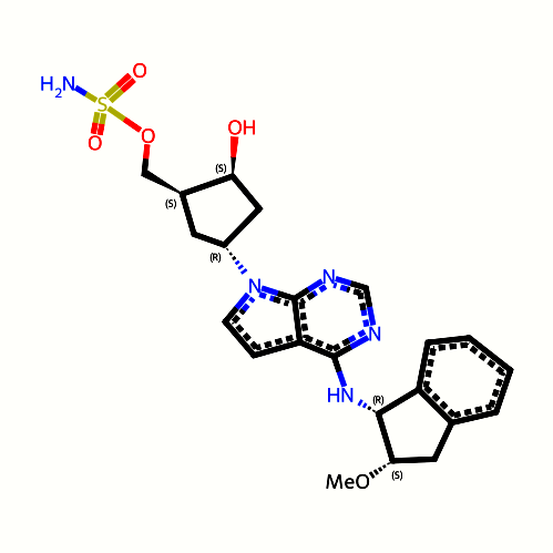 CO[C@H]1Cc2ccccc2[C@H]1Nc1ncnc2c1ccn2[C@@H]1C[C@@H](COS(N)(=O)=O)[C@@H](O)C1